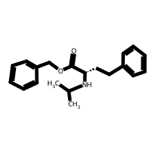 CC(C)N[C@@H](CCc1ccccc1)C(=O)OCc1ccccc1